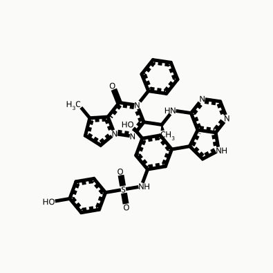 Cc1ccn2nc([C@H](C)Nc3ncnc4[nH]cc(-c5cc(O)cc(NS(=O)(=O)c6ccc(O)cc6)c5)c34)n(-c3ccccc3)c(=O)c12